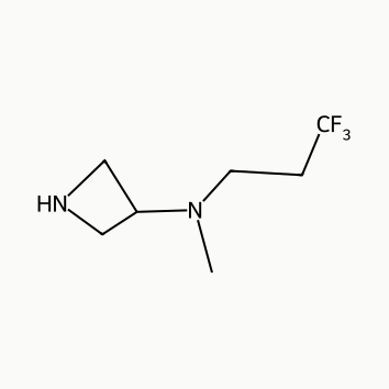 CN(CCC(F)(F)F)C1CNC1